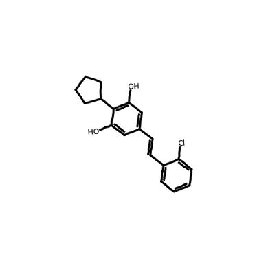 Oc1cc(/C=C/c2ccccc2Cl)cc(O)c1C1CCCC1